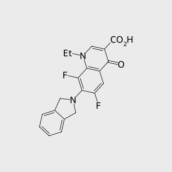 CCn1cc(C(=O)O)c(=O)c2cc(F)c(N3Cc4ccccc4C3)c(F)c21